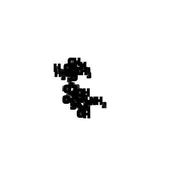 CC(C)(C)[Si](C)(C)OC[C@@H]1CC(O)(n2c(=O)sc3c(=O)[nH]c(N)nc32)CO1